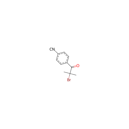 [C-]#[N+]c1ccc(C(=O)C(C)(C)Br)cc1